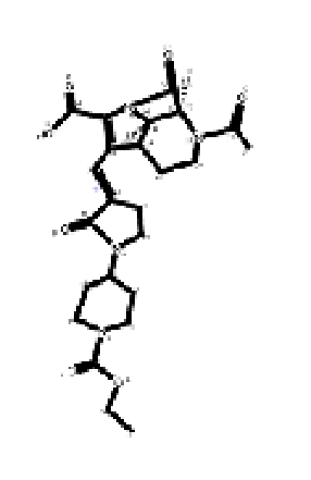 CCOC(=O)N1CCC(N2CC/C(=C\C3=C(C(=O)O)N4C(=O)[C@@H]5[C@H]4C3CCN5C(C)=O)C2=O)CC1